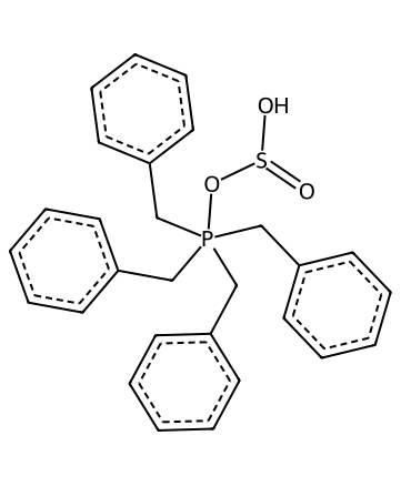 O=S(O)OP(Cc1ccccc1)(Cc1ccccc1)(Cc1ccccc1)Cc1ccccc1